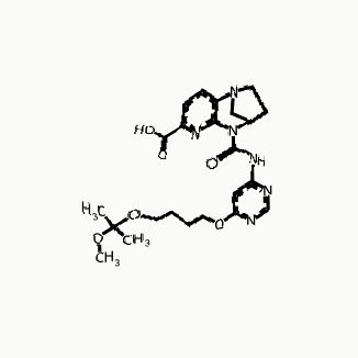 COC(C)(C)OCCCCOc1cc(NC(=O)N2c3nc(C(=O)O)ccc3N3CCC2C3)ncn1